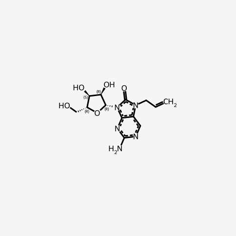 C=CCn1c(=O)n([C@@H]2O[C@H](CO)[C@@H](O)[C@H]2O)c2nc(N)ncc21